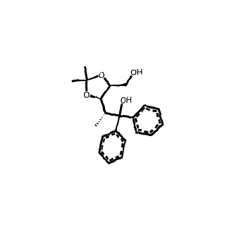 C[C@H]([C@H]1OC(C)(C)O[C@H]1CO)C(O)(c1ccccc1)c1ccccc1